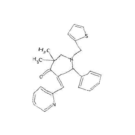 CC1(C)CN(Cc2cccs2)C(c2ccccc2)C(=Cc2ccccn2)C1=O